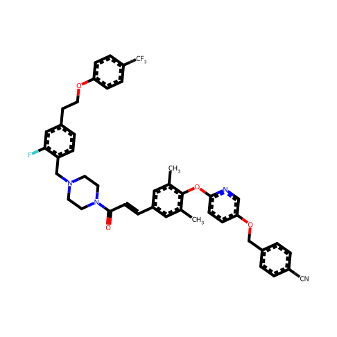 Cc1cc(C=CC(=O)N2CCN(Cc3ccc(CCOc4ccc(C(F)(F)F)cc4)cc3F)CC2)cc(C)c1Oc1ccc(OCc2ccc(C#N)cc2)cn1